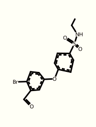 CCNS(=O)(=O)c1ccc(Oc2ccc(Br)c(C=O)c2)cc1